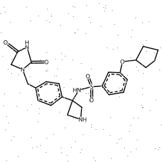 O=C1CN(Cc2ccc(C3(NS(=O)(=O)c4cccc(OC5CCCC5)c4)CNC3)cc2)C(=O)N1